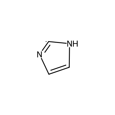 [c]1ncc[nH]1